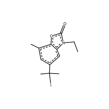 CCn1c(=O)oc2c(C)cc(C(C)(C)I)cc21